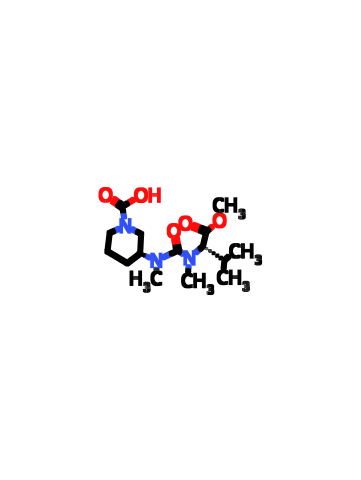 COC(=O)[C@H](C(C)C)N(C)C(=O)N(C)[C@H]1CCCN(C(=O)O)C1